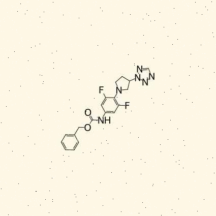 O=C(Nc1cc(F)c(N2CCC(n3ncnn3)C2)c(F)c1)OCc1ccccc1